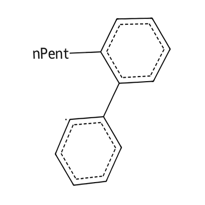 CCCCCc1ccccc1-c1[c]cccc1